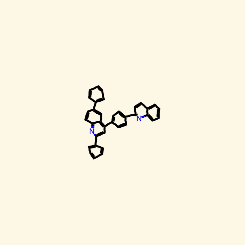 c1ccc(-c2ccc3nc(-c4ccccc4)cc(-c4ccc(-c5ccc6ccccc6n5)cc4)c3c2)cc1